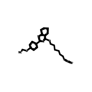 N#CCOc1ccc(-c2nc(OCCCCCCN=[N+]=[N-])c3ccccc3n2)cc1